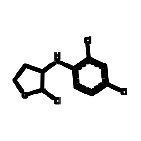 Cl[C]1OCCC1Nc1ccc(Cl)cc1Cl